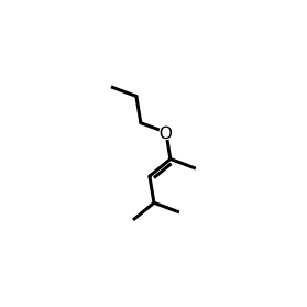 CCCOC(C)=CC(C)C